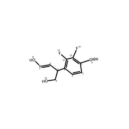 COc1ccc(C(C=NO)CO)c(F)c1F